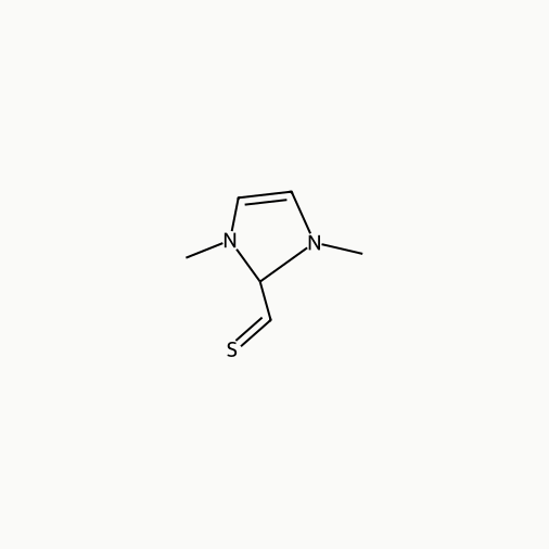 CN1C=CN(C)C1C=S